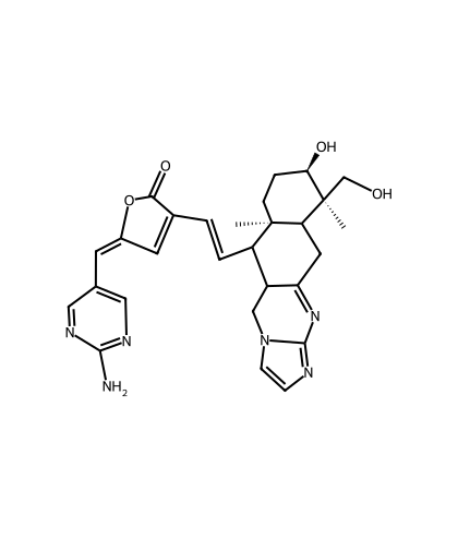 C[C@]12CC[C@@H](O)[C@@](C)(CO)C1CC1=Nc3nccn3CC1C2/C=C/C1=CC(=C\c2cnc(N)nc2)/OC1=O